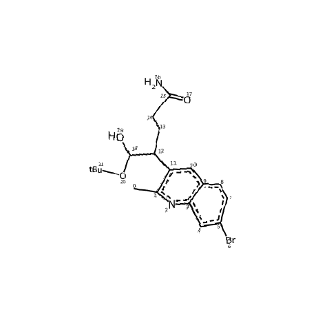 Cc1nc2cc(Br)ccc2cc1C(CCC(N)=O)C(O)OC(C)(C)C